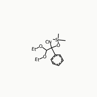 [C-]#[N+]C(O[Si](C)(C)C)(c1ccccc1)C(OCC)OCC